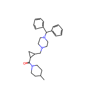 CC1CCN(C(=O)C2CC2CN2CCN(C(c3ccccc3)c3ccccc3)CC2)CC1